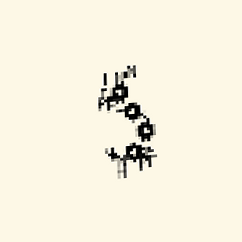 N#CNc1ccc(Oc2ccc(Sc3ccc(Oc4ccc(NC#N)cc4C(F)(F)F)cc3)cc2)c(C(F)(F)F)c1